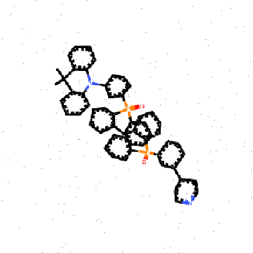 CC1(C)c2ccccc2N(c2cccc(P(=O)(c3ccccc3)c3ccccc3Cc3ccccc3P(=O)(c3ccccc3)c3cccc(-c4ccncc4)c3)c2)c2ccccc21